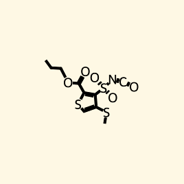 CCCOC(=O)c1scc(SC)c1S(=O)(=O)N=C=O